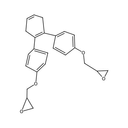 C1=CCC(c2ccc(OCC3CO3)cc2)=C(c2ccc(OCC3CO3)cc2)C1